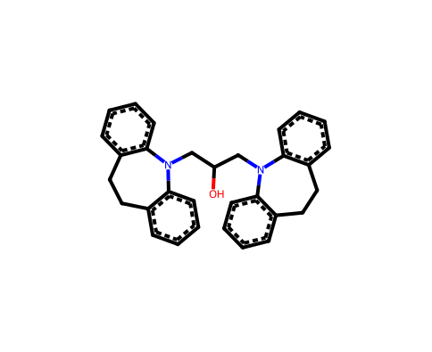 OC(CN1c2ccccc2CCc2ccccc21)CN1c2ccccc2CCc2ccccc21